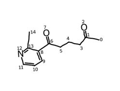 CC(=O)CCCC(=O)c1cccnc1C